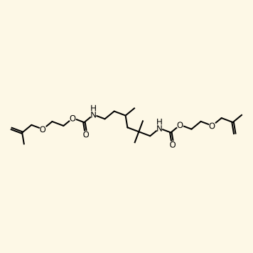 C=C(C)COCCOC(=O)NCCC(C)CC(C)(C)CNC(=O)OCCOCC(=C)C